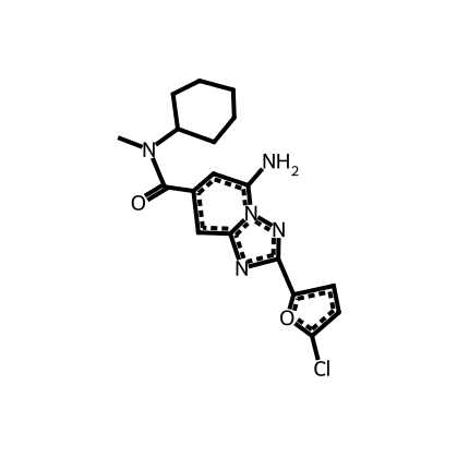 CN(C(=O)c1cc(N)n2nc(-c3ccc(Cl)o3)nc2c1)C1CCCCC1